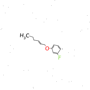 CCCC=CCOc1cc[c]c(F)c1